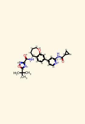 CC(C)(C)c1nc(C(=O)N[C@@H]2CCCOc3cc(-c4ccnc(NC(=O)C5CC5)c4)ccc32)no1